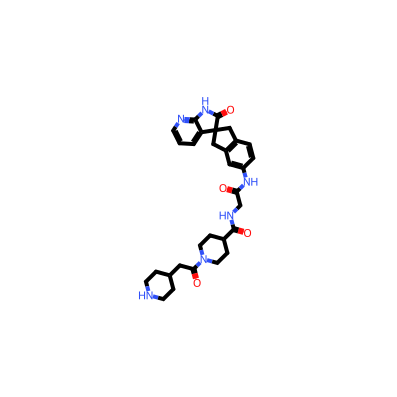 O=C(CNC(=O)C1CCN(C(=O)CC2CCNCC2)CC1)Nc1ccc2c(c1)CC1(C2)C(=O)Nc2ncccc21